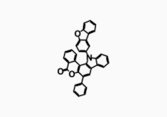 O=c1oc2c(-c3ccccc3)cc3c4ccccc4n(-c4ccc5oc6ccccc6c5c4)c3c2c2ccccc12